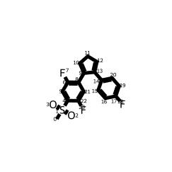 CS(=O)(=O)c1cc(F)c(C2=CCC=C2c2ccc(F)cc2)cc1F